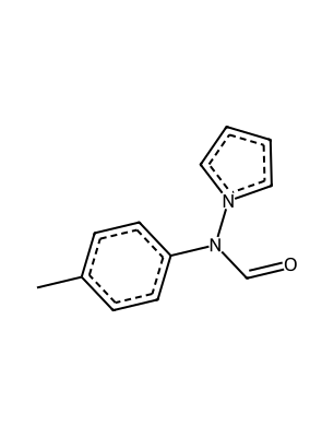 Cc1ccc(N(C=O)n2cccc2)cc1